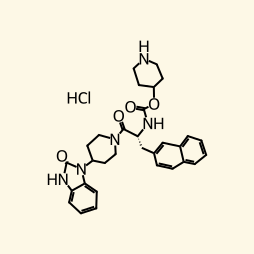 Cl.O=C(N[C@H](Cc1ccc2ccccc2c1)C(=O)N1CCC(n2c(=O)[nH]c3ccccc32)CC1)OC1CCNCC1